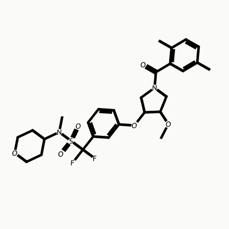 COC1CN(C(=O)c2cc(C)ccc2C)CC1Oc1cccc(C(F)(F)S(=O)(=O)N(C)C2CCOCC2)c1